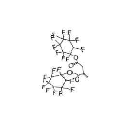 C=C(CC(=O)OC1(F)C(F)C(F)(F)C(F)(F)C(F)(F)C1(F)F)C(=O)OC1(F)C(F)C(F)(F)C(F)(F)C(F)(F)C1(F)F